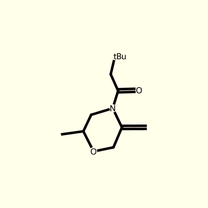 C=C1COC(C)CN1C(=O)CC(C)(C)C